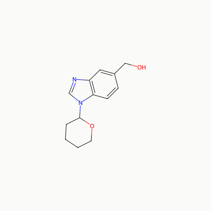 OCc1ccc2c(c1)ncn2C1CCCCO1